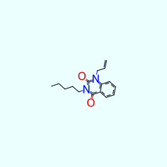 C=CCn1c(=O)n(CCCCC)c(=O)c2ccccc21